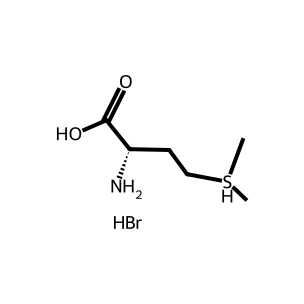 Br.C[SH](C)CC[C@H](N)C(=O)O